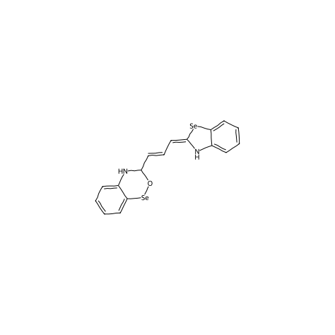 C(=CC1Nc2ccccc2[Se]O1)C=C1Nc2ccccc2[Se]1